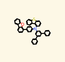 c1ccc(-c2cc(-c3ccccc3)cc(N(c3ccc(-c4cccc5c4oc4ccccc45)cc3)c3cccc4sc5ccccc5c34)c2)cc1